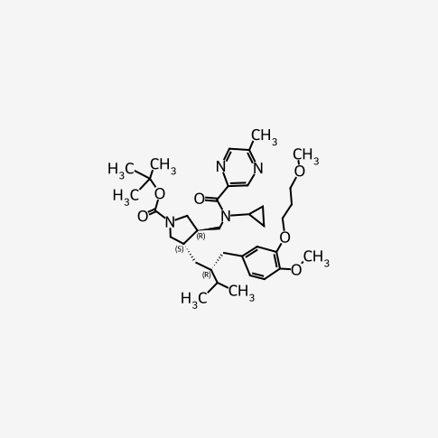 COCCCOc1cc(C[C@@H](C[C@@H]2CN(C(=O)OC(C)(C)C)C[C@H]2CN(C(=O)c2cnc(C)cn2)C2CC2)C(C)C)ccc1OC